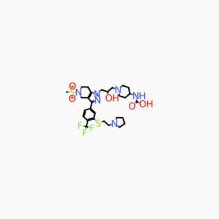 CS(=O)(=O)N1CCc2c(c(-c3ccc(C(F)(F)F)c(SCCN4CCCC4)c3)nn2CC(O)CN2CCC(NC(=O)O)CC2)C1